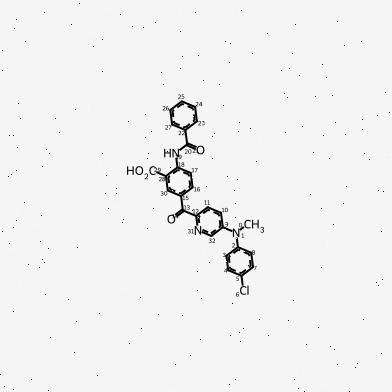 CN(c1ccc(Cl)cc1)c1ccc(C(=O)c2ccc(NC(=O)c3ccccc3)c(C(=O)O)c2)nc1